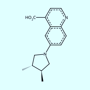 C[C@@H]1CN(c2ccc3nccc(C(=O)O)c3c2)C[C@H]1C